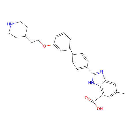 Cc1cc(C(=O)O)c2[nH]c(-c3ccc(-c4cccc(OCCC5CCNCC5)c4)cc3)nc2c1